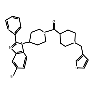 O=C(C1CCN(Cc2ccoc2)CC1)N1CCC(n2c(-c3ccccn3)nc3cc(Br)ccc32)CC1